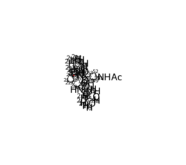 [2H]C1([2H])O[C@@H]2OC([2H])([2H])[C@]([2H])(OC(=O)N[C@@H](Cc3ccccc3)[C@H](O)CN(C([2H])([2H])C3([2H])C([2H])([2H])C([2H])([2H])C([2H])([2H])C3([2H])[2H])S(=O)(=O)c3ccc(NC(C)=O)cc3)[C@@H]2C1([2H])[2H]